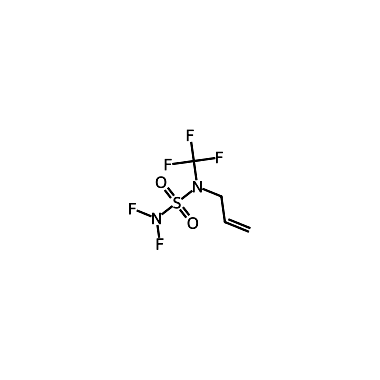 C=CCN(C(F)(F)F)S(=O)(=O)N(F)F